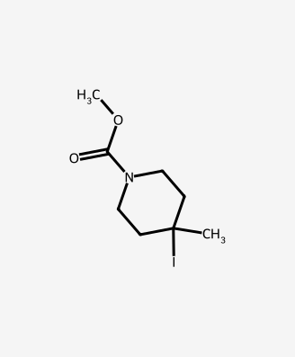 COC(=O)N1CCC(C)(I)CC1